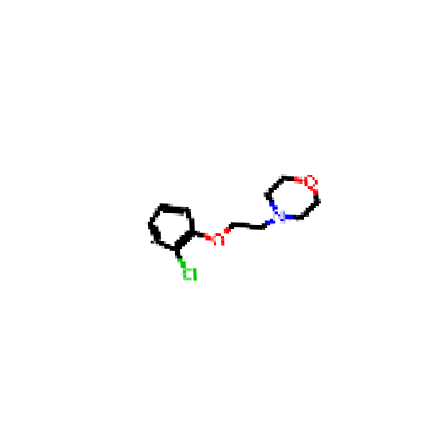 Clc1[c]cccc1OCCN1CCOCC1